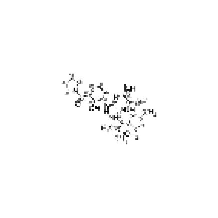 CC1CC=C([C@H](NC2NC(=N)C(=N)N=C2Nc2cccc(C(=O)N3CCCC3)c2O)C(C)(C)C)S1